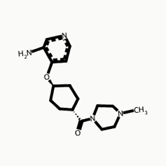 CN1CCN(C(=O)[C@H]2CC[C@H](Oc3ccncc3N)CC2)CC1